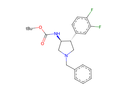 CC(C)(C)OC(=O)N[C@@H]1CN(Cc2ccccc2)C[C@H]1c1ccc(F)c(F)c1